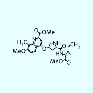 C=C[C@@H]1C[C@]1(NC(=O)[C@H]1C[C@@H](Oc2cc(C(=O)OC)nc3c(C)c(OC)ccc23)CN1)C(=O)OC